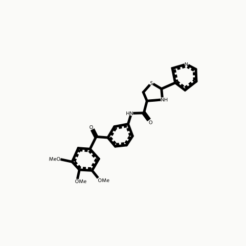 COc1cc(C(=O)c2cccc(NC(=O)C3CSC(c4cccnc4)N3)c2)cc(OC)c1OC